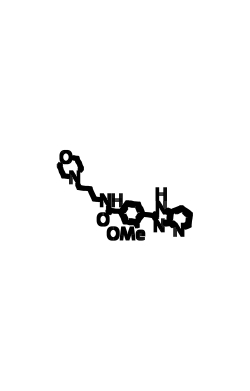 COc1cc(C(=O)NCCCN2CCOCC2)ccc1-c1nc2ncccc2[nH]1